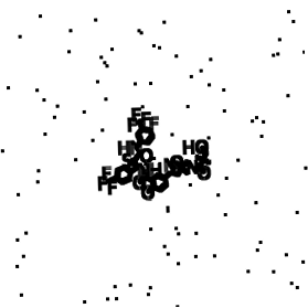 COc1ccc(C2=NOC3(C2)CN(C(=O)C(C)(C)CO)C3)cc1C(=O)Nc1c(C(=O)Nc2ccc(F)c(C(F)(F)F)c2)sc2cc(C(F)(F)F)ccc12